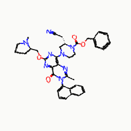 Cc1nc2c(N3CCN(C(=O)OCc4ccccc4)[C@@H](CC#N)C3)nc(OCC3CCCN3C)nc2c(=O)n1-c1cccc2ccccc12